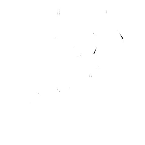 CON(C)C(=O)C(Cc1cn(C(c2ccccc2)(c2ccccc2)c2ccccc2)cn1)NC[C@@H]1C[C@H]2CCCC[C@@H]2CN1C(=O)CC(Nc1ccccc1)OC(C)(C)C